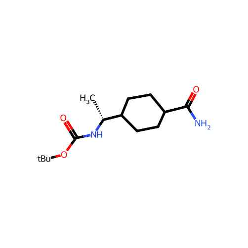 C[C@@H](NC(=O)OC(C)(C)C)C1CCC(C(N)=O)CC1